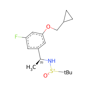 C[C@H](N[S+]([O-])C(C)(C)C)c1cc(F)cc(OCC2CC2)c1